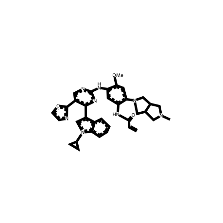 C=CC(=O)Nc1cc(Nc2ncc(-c3ncco3)c(-c3cn(C4CC4)c4ccccc34)n2)c(OC)cc1N1CC2CN(C)CC2C1